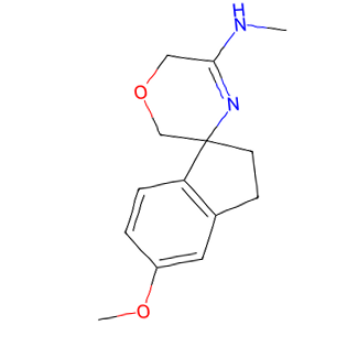 CNC1=NC2(CCc3cc(OC)ccc32)COC1